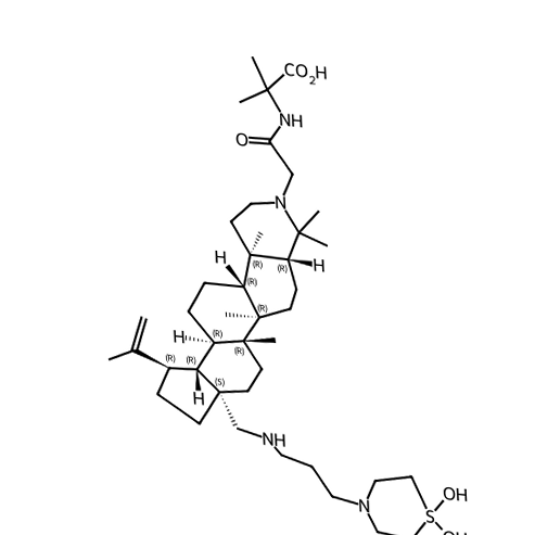 C=C(C)[C@@H]1CC[C@]2(CNCCCN3CCS(O)(O)CC3)CC[C@]3(C)[C@H](CC[C@@H]4[C@@]5(C)CCN(CC(=O)NC(C)(C)C(=O)O)C(C)(C)[C@@H]5CC[C@]43C)[C@@H]12